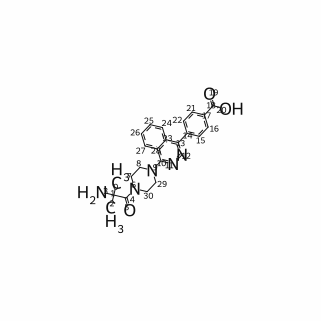 CC(C)(N)C(=O)N1CCN(c2nnc(-c3ccc(C(=O)O)cc3)c3ccccc23)CC1